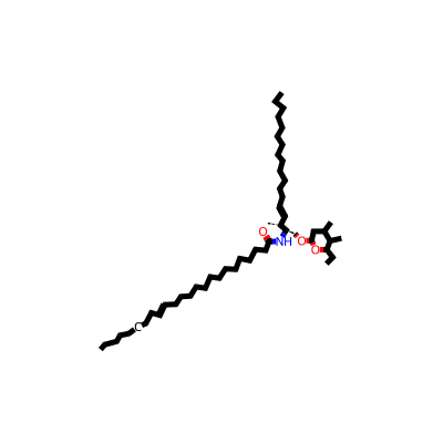 CCCCCCCC/C=C/CCCCCCCCCCCCCC(=O)N[C@@H](COC1CC(C)C(C)C(CC)O1)[C@H](C)/C=C/CCCCCCCCCCCCC